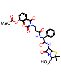 COC(=O)Oc1cccc2c(=O)n(CCC(=O)NC(C(=O)NC3C(=O)N4C3SC(C)(C)C4C(=O)O)c3ccccc3)c(=O)oc12